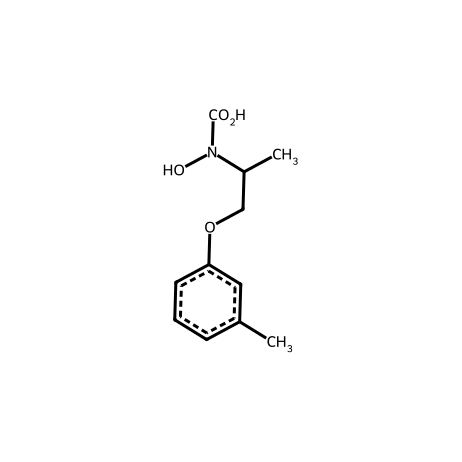 Cc1cccc(OCC(C)N(O)C(=O)O)c1